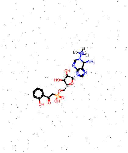 CC[N+](CC)(CC)N1C=Nc2c(ncn2[C@@H]2O[C@H](COP(=O)(O)CC(=O)c3ccccc3O)C(O)C2O)C1N